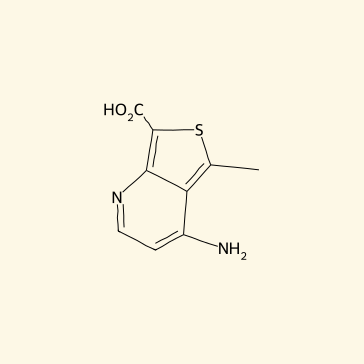 Cc1sc(C(=O)O)c2nccc(N)c12